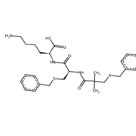 CC(C)(CSCc1ccccc1)C(=O)N[C@@H](CSCc1ccccc1)C(=O)N[C@@H](CCCCN)C(=O)O